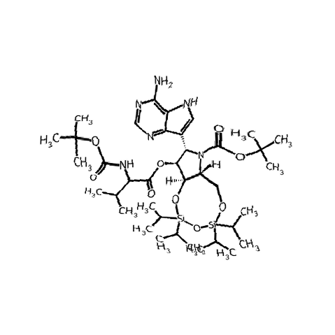 CC(C)C(NC(=O)OC(C)(C)C)C(=O)O[C@@H]1[C@@H]2O[Si](C(C)C)(C(C)C)O[Si](C(C)C)(C(C)C)OC[C@H]2N(C(=O)OC(C)(C)C)[C@H]1c1c[nH]c2c(N)ncnc12